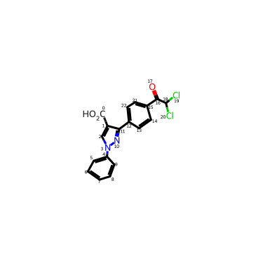 O=C(O)c1cn(-c2ccccc2)nc1-c1ccc(C(=O)C(Cl)Cl)cc1